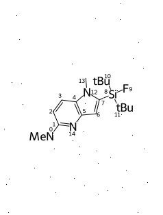 CNc1ccc2c(cc([Si](F)(C(C)(C)C)C(C)(C)C)n2C)n1